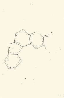 CCOC(=O)c1cc2c(ccc3oc4ccccc4c32)oc1=O